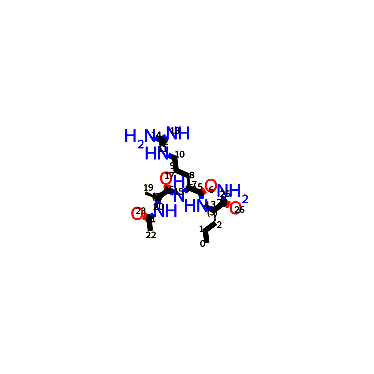 CCC[C@H](NC(=O)[C@H](CCCNC(=N)N)NC(=O)[C@H](C)NC(C)=O)C(N)=O